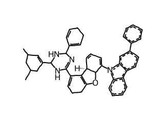 CC1C=C(C2NC(C3=CCCC4=C3[C@H]3C=CC=C(n5c6ccccc6c6ccc(-c7ccccc7)cc65)C3O4)=NC(C3=CCCC=C3)N2)CC(C)C1